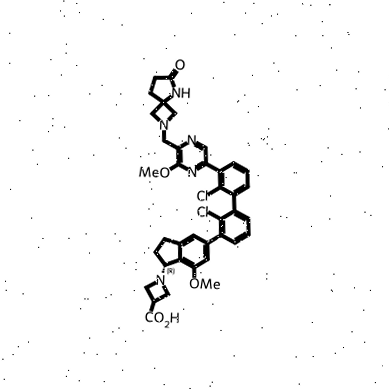 COc1cc(-c2cccc(-c3cccc(-c4cnc(CN5CC6(CCC(=O)N6)C5)c(OC)n4)c3Cl)c2Cl)cc2c1[C@H](N1CC(C(=O)O)C1)CC2